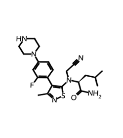 Cc1nsc(N(CC#N)[C@@H](CC(C)C)C(N)=O)c1-c1ccc(N2CCNCC2)cc1F